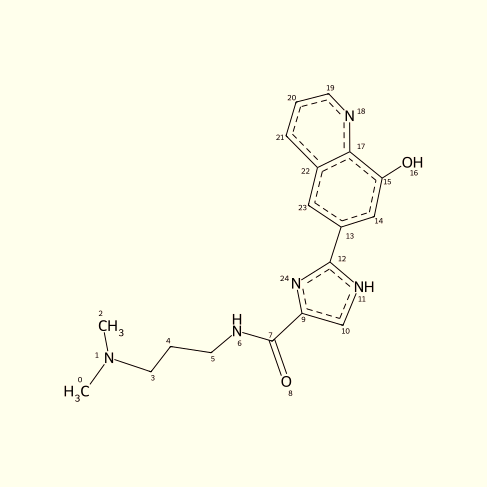 CN(C)CCCNC(=O)c1c[nH]c(-c2cc(O)c3ncccc3c2)n1